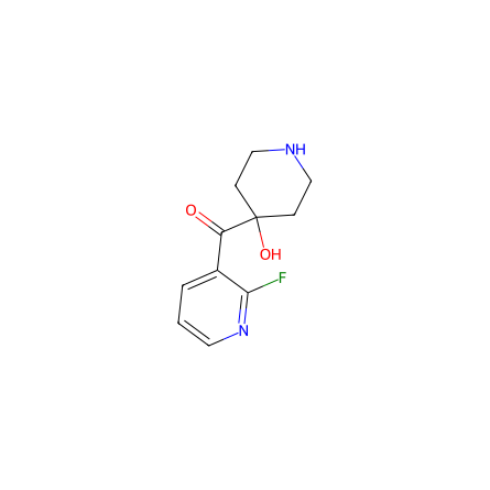 O=C(c1cccnc1F)C1(O)CCNCC1